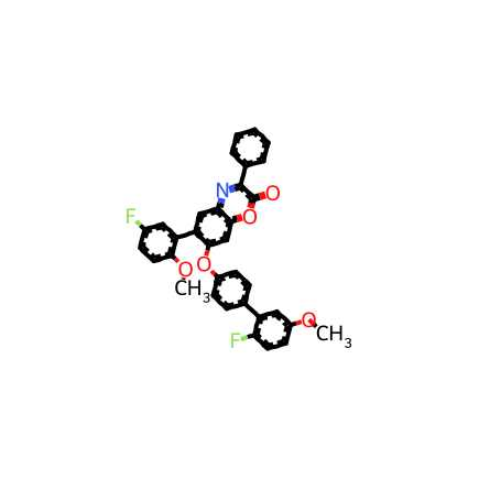 COc1ccc(F)c(-c2ccc(Oc3cc4oc(=O)c(-c5ccccc5)nc4cc3-c3cc(F)ccc3OC)cc2)c1